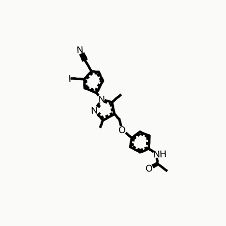 CC(=O)Nc1ccc(OCc2c(C)nn(-c3ccc(C#N)c(I)c3)c2C)cc1